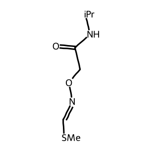 CS/C=N/OCC(=O)NC(C)C